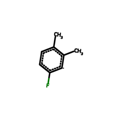 Cc1[c]c(F)ccc1C